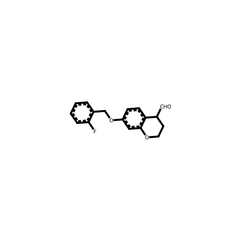 O=CC1CCOc2cc(OCc3ccccc3F)ccc21